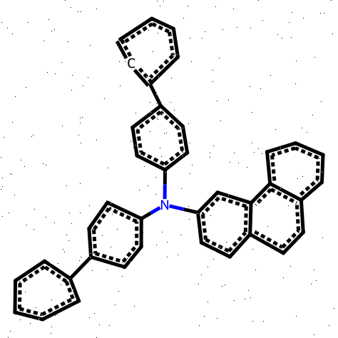 c1ccc(-c2ccc(N(c3ccc(-c4ccccc4)cc3)c3ccc4ccc5ccccc5c4c3)cc2)cc1